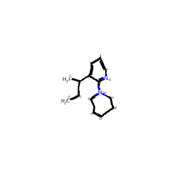 CCC(C)c1cccnc1N1CCCCC1